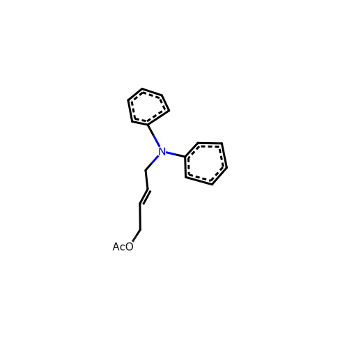 CC(=O)OCC=CCN(c1ccccc1)c1ccccc1